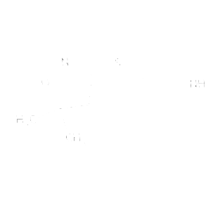 CC1(C)CC(SCC=N)=NO1